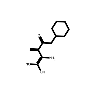 C=C(C(=O)CC1CCCCC1)C(N)=C(C#N)C#N